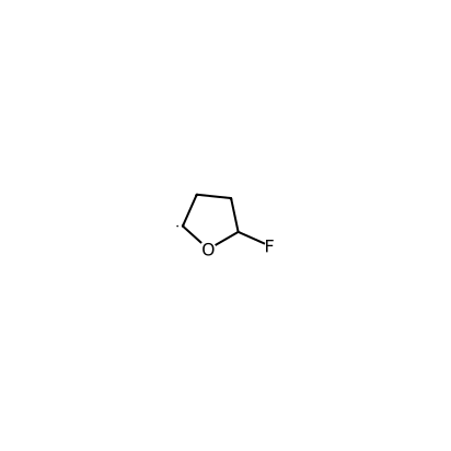 FC1CC[CH]O1